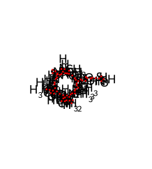 CC(=O)N[C@@H](CC(=O)O)C(=O)N[C@H]1CNC(=O)CSC[C@@H](C(=O)N[C@H](C(N)=O)[C@@H](C)O)NC(=O)[C@H](Cc2c[nH]c3ccccc23)NC(=O)[C@H](C(C)C)NC(=O)[C@H](CC(C)C)NC(=O)C(CCC(=O)Nc2ccc(OC(=O)CCCC[C@@H]3SC[C@@H]4NC(=O)N[C@@H]43)cc2)NC(=O)CNC(=O)[C@H](CC(C)C)NC(=O)[C@H](Cc2c[nH]cn2)NC(=O)[C@H](Cc2c[nH]c3ccccc23)NC(=O)[C@H](C)NC1=O